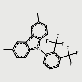 Cc1ccc2c(c1)c1cc(C)ccc1n2-c1cccc(C(F)(F)F)c1C(F)(F)F